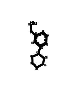 CC(C)(C)Cc1cccc(C2CCCCC2)c1